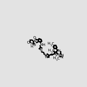 Cc1ccc(C2=NCc3nnc(C)n3-c3sc(C#Cc4cnn(CCCN5CC(CNc6cccc7c6CN(C6CCC(=O)NC6=O)C7=O)C5)c4)c(C)c32)cc1